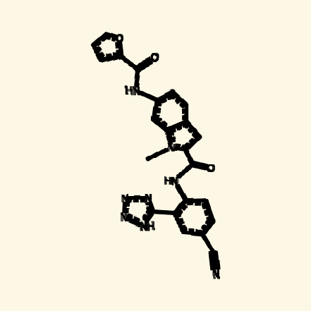 Cn1c(C(=O)Nc2ccc(C#N)cc2-c2nnn[nH]2)cc2ccc(NC(=O)c3ccco3)cc21